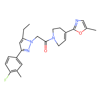 CCc1cc(-c2ccc(F)c(C)c2)nn1CC(=O)N1CC=C(c2ncc(C)o2)CC1